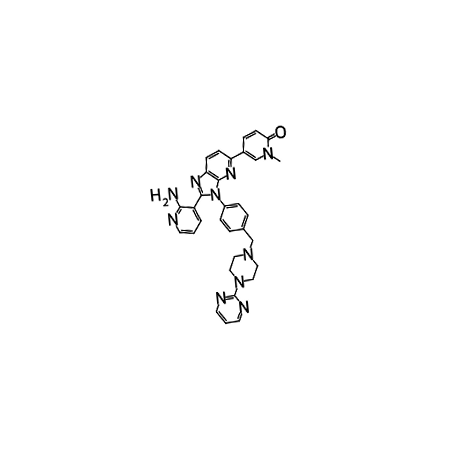 Cn1cc(-c2ccc3nc(-c4cccnc4N)n(-c4ccc(CN5CCN(c6ncccn6)CC5)cc4)c3n2)ccc1=O